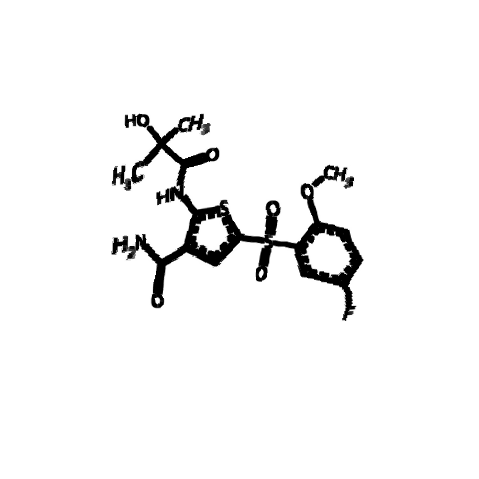 COc1ccc(F)cc1S(=O)(=O)c1cc(C(N)=O)c(NC(=O)C(C)(C)O)s1